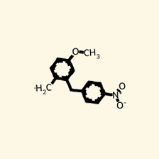 [CH2]c1ccc(OC)cc1Cc1ccc([N+](=O)[O-])cc1